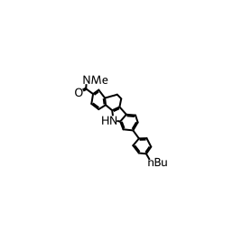 CCCCc1ccc(-c2ccc3c4c([nH]c3c2)-c2ccc(C(=O)NC)cc2CC4)cc1